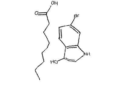 CCCCCCCC(=O)O.Oc1c[nH]c2cc(Br)ccc12